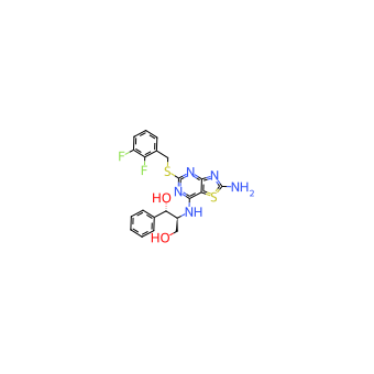 Nc1nc2nc(SCc3cccc(F)c3F)nc(N[C@@H](CO)[C@@H](O)c3ccccc3)c2s1